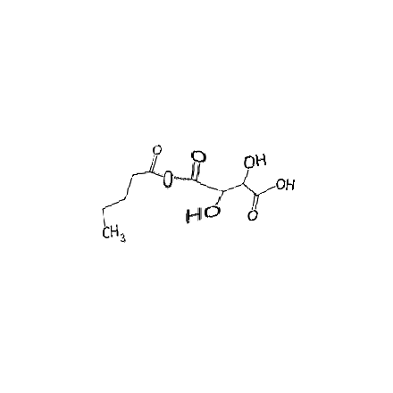 CCCCC(=O)OC(=O)C(O)C(O)C(=O)O